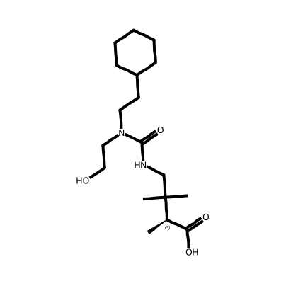 C[C@H](C(=O)O)C(C)(C)CNC(=O)N(CCO)CCC1CCCCC1